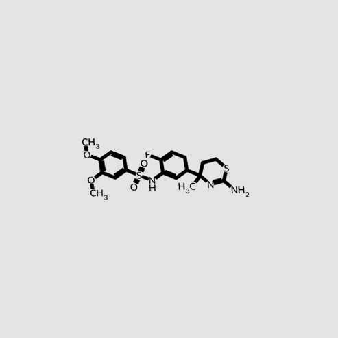 COc1ccc(S(=O)(=O)NC2=CC(C3(C)CCSC(N)=N3)CC=C2F)cc1OC